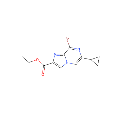 CCOC(=O)c1cn2cc(C3CC3)nc(Br)c2n1